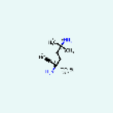 C#C[C@](N)(CCC(C)(C)N)C(=O)OCC